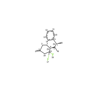 C=C1CC[C@@H](C(C)[C@H](C)c2ccccc2)C(F)(F)C1